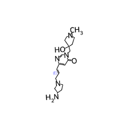 CN1CCC(O)(Cn2cnc(/C=C/CN3CCC(N)C3)cc2=O)CC1